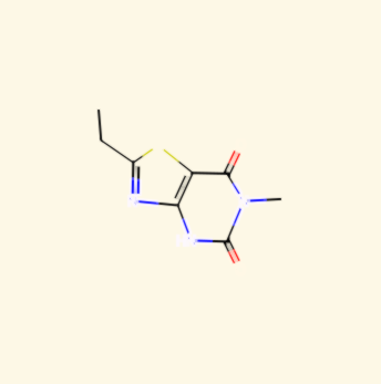 CCc1nc2[nH]c(=O)n(C)c(=O)c2s1